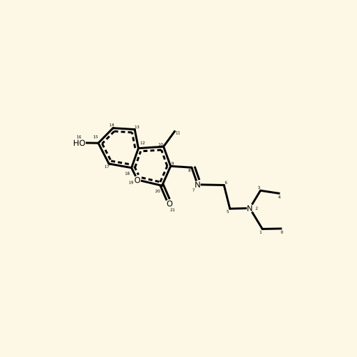 CCN(CC)CCN=Cc1c(C)c2ccc(O)cc2oc1=O